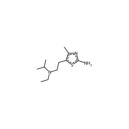 CCN(CCc1sc(N)nc1C)C(C)C